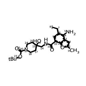 Cc1cc2c(N)c(CI)cc(C(=O)NCC3(O)CCN(C(=O)OC(C)(C)C)CC3)c2o1